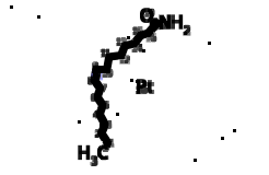 CCCCCCCC/C=C\CCCCCCCC(N)=O.[Pt]